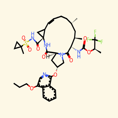 CCCOc1cnc(O[C@@H]2C[C@H]3C(=O)N[C@]4(C(=O)NS(=O)(=O)C5(C)CC5)CC4/C=C\CC[C@H](C)C[C@@H](C)[C@H](NC(=O)O[C@H](C)C(F)(F)F)C(=O)N3C2)c2ccccc12